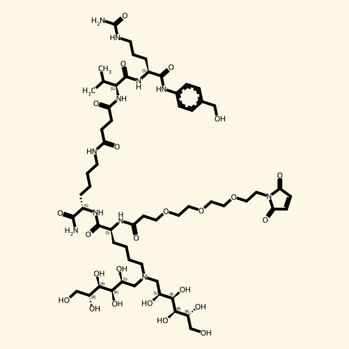 CC(C)[C@H](NC(=O)CCC(=O)NCCCC[C@H](NC(=O)[C@H](CCCCN(C[C@H](O)[C@@H](O)[C@H](O)[C@H](O)CO)C[C@H](O)[C@@H](O)[C@H](O)[C@H](O)CO)NC(=O)CCOCCOCCOCCN1C(=O)C=CC1=O)C(N)=O)C(=O)N[C@@H](CCCNC(N)=O)C(=O)Nc1ccc(CO)cc1